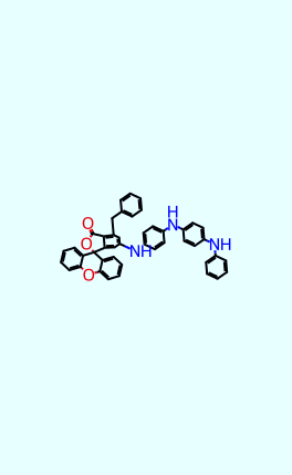 O=C1OC2(c3ccccc3Oc3ccccc32)c2cc(Nc3ccc(Nc4ccc(Nc5ccccc5)cc4)cc3)cc(Cc3ccccc3)c21